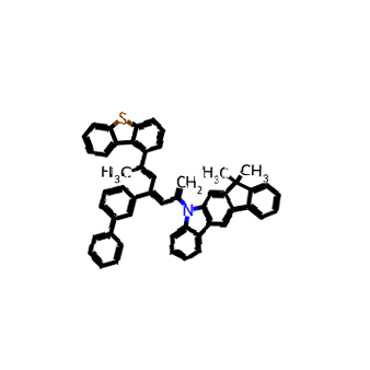 C=C(/C=C(\C=C(/C)c1cccc2sc3ccccc3c12)c1cccc(-c2ccccc2)c1)n1c2ccccc2c2cc3c(cc21)C(C)(C)c1ccccc1-3